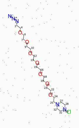 [N-]=[N+]=NCCOCCOCCOCCOCCOCCOCCOCCN1CCN(Cl)CC1